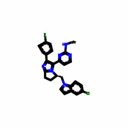 CCCNc1nccc(-c2c(-c3ccc(F)cc3)nc3n2[C@H](Cn2ccc4cc(Cl)ccc42)CC3)n1